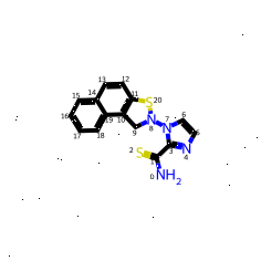 NC(=S)c1nccn1N1Cc2c(ccc3ccccc23)S1